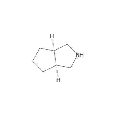 C1C[C@@H]2CNC[C@@H]2C1